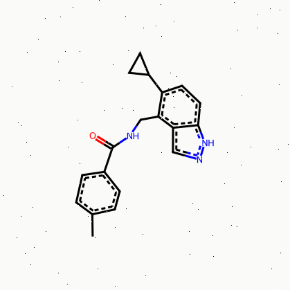 Cc1ccc(C(=O)NCc2c(C3CC3)ccc3[nH]ncc23)cc1